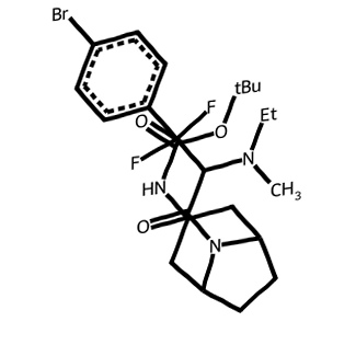 CCN(C)C(C(=O)N1C2CCC1CC(NC(=O)OC(C)(C)C)C2)C(F)(F)c1ccc(Br)cc1